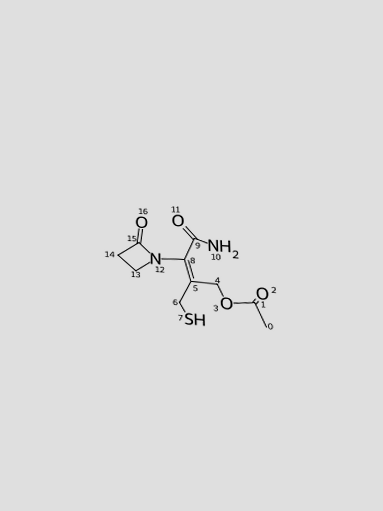 CC(=O)OC/C(CS)=C(\C(N)=O)N1CCC1=O